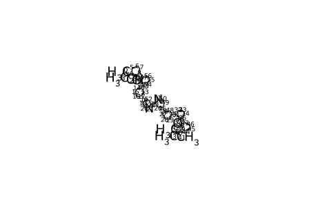 CC(C)(C)c1cccc2c1oc1c(-c3cccc(-c4ccnc(-c5cc(-c6cccc(-c7cccc8c7oc7c(C(C)(C)C)cccc78)c6)ccn5)c4)c3)cccc12